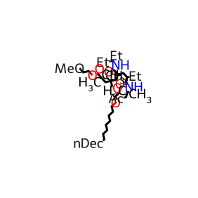 CCCCCCCCCCCCCCCCCCOCCOCC(C)(CC(CC(CC)C(=O)NC(C)(C)CC(C)=O)C(=O)NC(CC)CC)CC(C)(C)C(=O)OCCOC